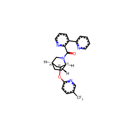 O=C(c1ncccc1-c1ccccn1)N1C[C@@H]2CC[C@H]1[C@H](Oc1ccc(C(F)(F)F)cn1)C2